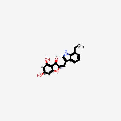 CCc1cccc2c(/C=C3/Oc4cc(O)cc(O)c4C3=O)c[nH]c12